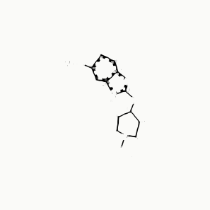 COc1ccc2sc(SC3CCN(C(=O)O)CC3)nc2c1